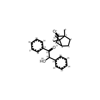 CC12CCC(CC1=O)C2(C)C.O=C(c1ccccc1)C(O)c1ccccc1